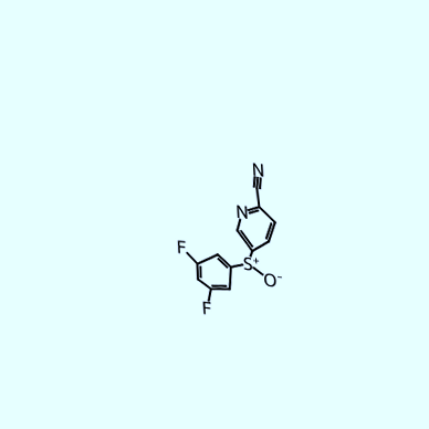 N#Cc1ccc([S+]([O-])c2cc(F)cc(F)c2)cn1